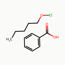 CCCCCOCl.O=C(O)c1ccccc1